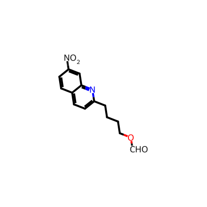 O=COCCCCc1ccc2ccc([N+](=O)[O-])cc2n1